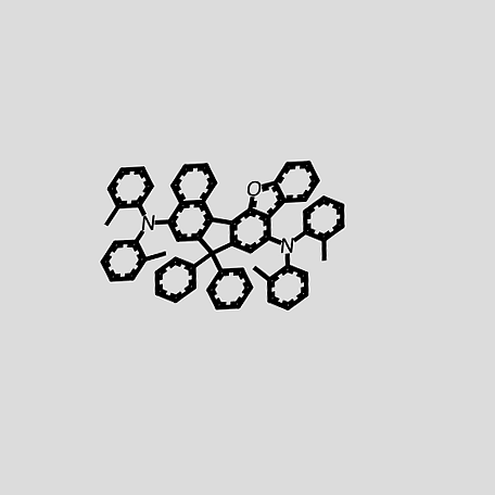 Cc1ccccc1N(c1ccccc1C)c1cc2c(c3ccccc13)-c1c(cc(N(c3ccccc3C)c3ccccc3C)c3c1oc1ccccc13)C2(c1ccccc1)c1ccccc1